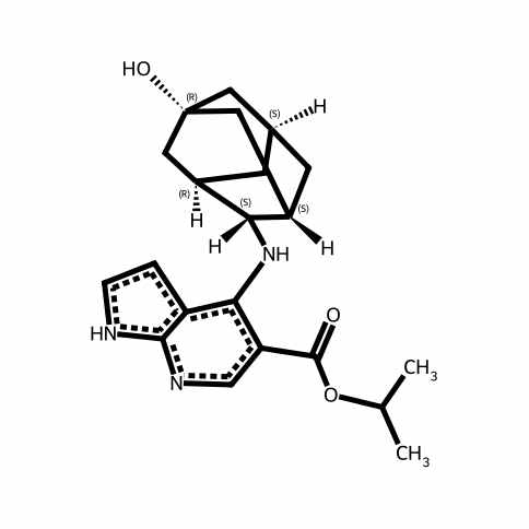 CC(C)OC(=O)c1cnc2[nH]ccc2c1N[C@@H]1[C@@H]2C[C@@H]3C[C@H]1C[C@](O)(C3)C2